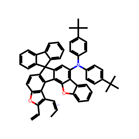 C=Cc1oc2ccc3c(c2c1/C=C\C)-c1c(cc(N(c2ccc(C(C)(C)C)cc2)c2ccc(C(C)(C)C)cc2)c2c1oc1ccccc12)C31c2ccccc2-c2ccccc21